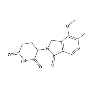 COc1c(C)ccc2c1CN(C1CCC(=O)NC1=O)C2=O